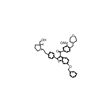 COc1cc(C(=O)c2c(-c3ccc(CCN4CCCC4(I)CO)cc3)sc3cc(OCc4ccccc4)ccc23)ccc1CN1CCOCC1